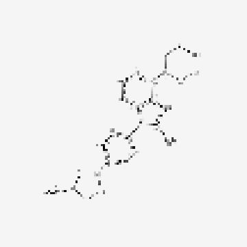 COC1CCN(c2ccc(-c3c(C)nc4c(N5CCOCC5)nccn34)cn2)C1